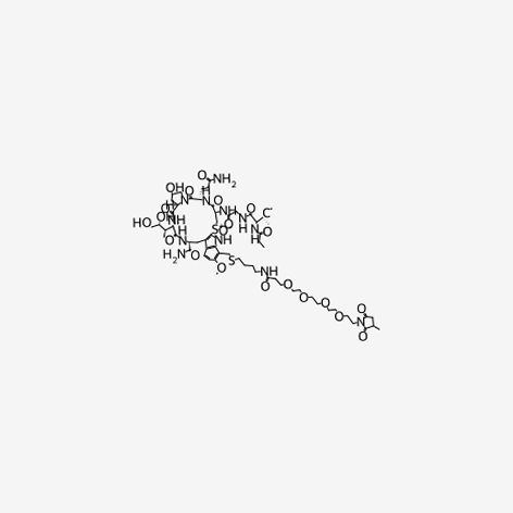 CCC(=O)N[C@H](C(=O)NCC(=O)N[C@H]1C[S+]([O-])c2[nH]c3c(CSCCCCNC(=O)CCOCCOCCOCCOCCN4C(=O)CC(C)C4=O)c(OC)ccc3c2C[C@@H](C(N)=O)NC(=O)[C@H]([C@@H](C)[C@@H](O)CO)NC(=O)[C@@H]2C[C@@H](O)CN2C(=O)[C@H](CCC(N)=O)NC1=O)[C@@H](C)CC